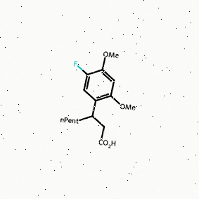 CCCCCC(CC(=O)O)c1cc(F)c(OC)cc1OC